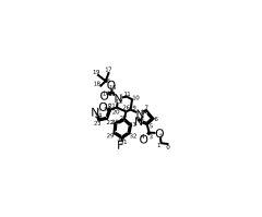 CCOC(=O)c1ccn(C2CCN(C(=O)OC(C)(C)C)C(c3ccno3)C2c2ccc(F)cc2)n1